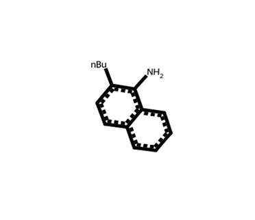 CCCCc1ccc2ccccc2c1N